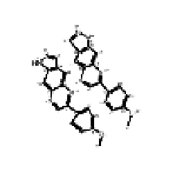 COc1ccc(-c2cnc3cc4[nH]ncc4cc3n2)cc1.COc1ccc(-c2cnc3cc4cn[nH]c4cc3n2)cc1